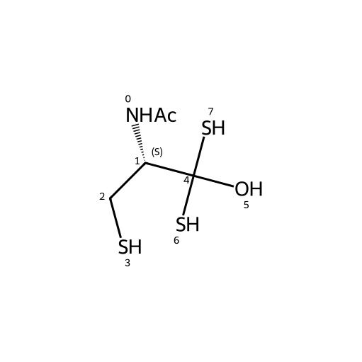 CC(=O)N[C@@H](CS)C(O)(S)S